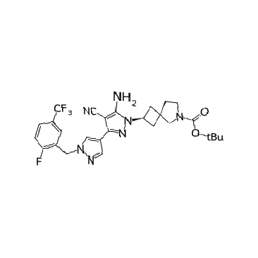 CC(C)(C)OC(=O)N1CC[C@]2(C1)C[C@H](n1nc(-c3cnn(Cc4cc(C(F)(F)F)ccc4F)c3)c(C#N)c1N)C2